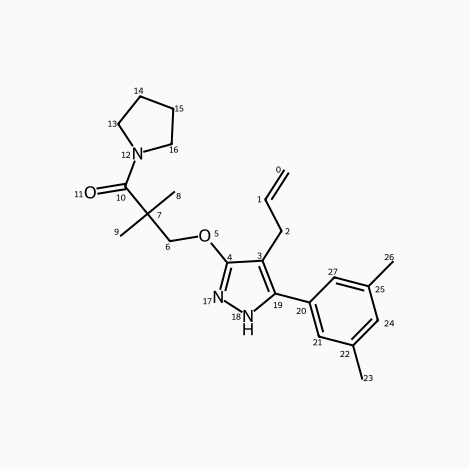 C=CCc1c(OCC(C)(C)C(=O)N2CCCC2)n[nH]c1-c1cc(C)cc(C)c1